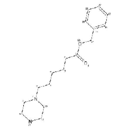 O=C(CCCCCN1CC[N]CC1)OCc1ccccc1